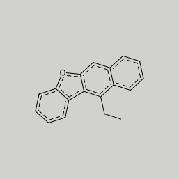 CCc1c2ccccc2cc2oc3ccccc3c12